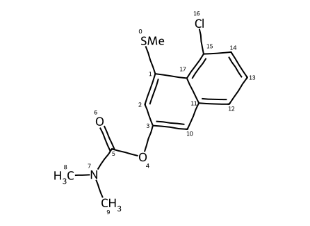 CSc1cc(OC(=O)N(C)C)cc2cccc(Cl)c12